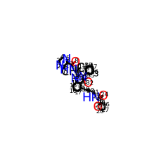 Cc1nccnc1C(=O)NC(C)c1nc2cccc(C#CCNC(=O)[C@H]3CCCO3)c2c(=O)n1-c1ccccc1